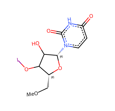 COC[C@H]1O[C@@H](n2ccc(=O)[nH]c2=O)C(O)C1OI